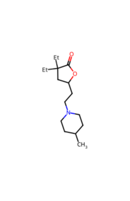 CCC1(CC)CC(CCN2CCC(C)CC2)OC1=O